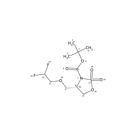 CC(C)(C)OC(=O)N1[C@@H](COCC(F)F)COS1(=O)=O